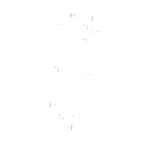 CN(C)C(C)(C)C(=O)c1ccc2[nH]c3ccc(C(=O)C(C)(C)N(C)C)cc3c(=O)c(=O)c2c1